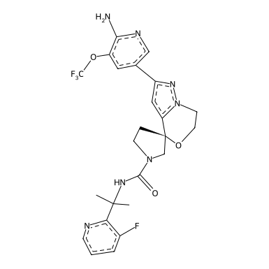 CC(C)(NC(=O)N1CC[C@]2(C1)OCCn1nc(-c3cnc(N)c(OC(F)(F)F)c3)cc12)c1ncccc1F